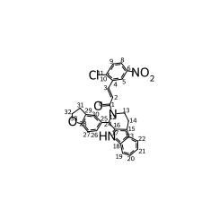 O=C(/C=C/c1cc([N+](=O)[O-])ccc1Cl)N1CCc2c([nH]c3ccccc23)C1c1ccc2c(c1)CCO2